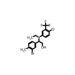 CCN(c1ccc(Cl)c(C(F)(F)F)c1)C(CO)c1ccc(C)c(Br)c1